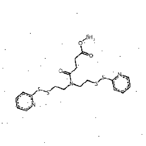 BOC(=O)CCC(=O)N(CCSSc1ccccn1)CCSSc1ccccn1